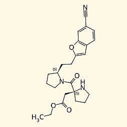 CCOC(=O)C[C@]1(C(=O)N2CCC[C@H]2CCc2cc3ccc(C#N)cc3o2)CCCN1